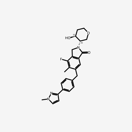 Cc1c(Cc2ccc(-c3ccn(C)n3)cc2)cc2c(c1F)CN([C@H]1COCC[C@@H]1O)C2=O